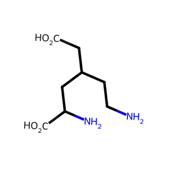 NCCC(CC(=O)O)CC(N)C(=O)O